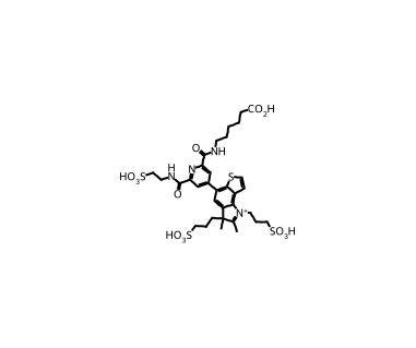 CC1=[N+](CCCS(=O)(=O)O)c2c(cc(-c3cc(C(=O)NCCCCCC(=O)O)nc(C(=O)NCCS(=O)(=O)O)c3)c3sccc23)C1(C)CCCS(=O)(=O)O